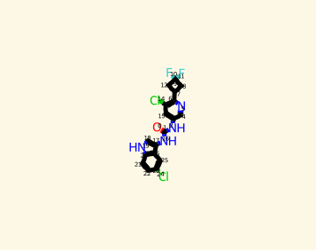 O=C(Nc1cnc(C2CC(F)(F)C2)c(Cl)c1)Nc1c[nH]c2ccc(Cl)cc12